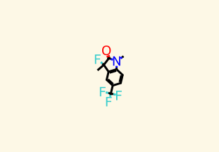 CN1C(=O)C(C)(F)c2cc(C(F)(F)F)ccc21